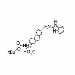 CC(C)(C)COC(=O)NC(Cc1ccc2c(c1)Cc1cc(CCNc3nc4ccccc4[nH]3)ccc1-2)C(=O)O